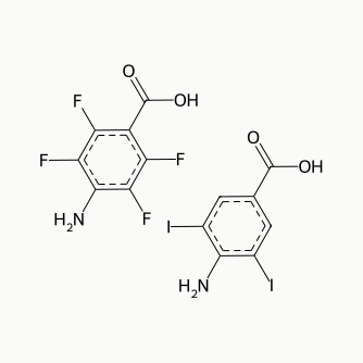 Nc1c(F)c(F)c(C(=O)O)c(F)c1F.Nc1c(I)cc(C(=O)O)cc1I